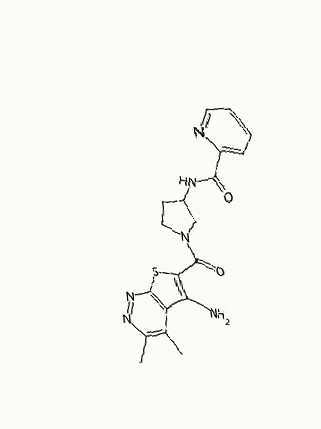 Cc1nnc2sc(C(=O)N3CCC(NC(=O)c4ccccn4)C3)c(N)c2c1C